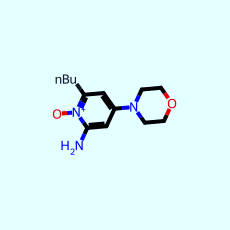 CCCCc1cc(N2CCOCC2)cc(N)[n+]1[O-]